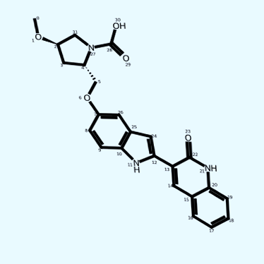 CO[C@@H]1C[C@@H](COc2ccc3[nH]c(-c4cc5ccccc5[nH]c4=O)cc3c2)N(C(=O)O)C1